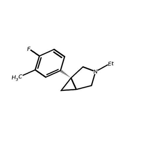 CCN1CC2C[C@@]2(c2ccc(F)c(C)c2)C1